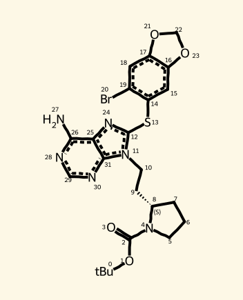 CC(C)(C)OC(=O)N1CCC[C@H]1CCn1c(Sc2cc3c(cc2Br)OCO3)nc2c(N)ncnc21